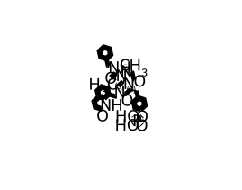 C[C@H]1C2N(C(=O)CN(C)N2C(=O)NCc2ccccc2)[C@@H](Cc2ccc(OP(=O)(O)O)cc2)C(=O)N1Cc1cccc2ccc(=O)[nH]c12